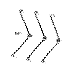 CCCCCCCCCCCCCCCCCCOP(=O)([O-])OCCCCCCCCCCCCCCCCCC.CCCCCCCCCCCCCCCCCCOP(=O)([O-])OCCCCCCCCCCCCCCCCCC.CCCCCCCCCCCCCCCCCCOP(=O)([O-])OCCCCCCCCCCCCCCCCCC.[Nd+3]